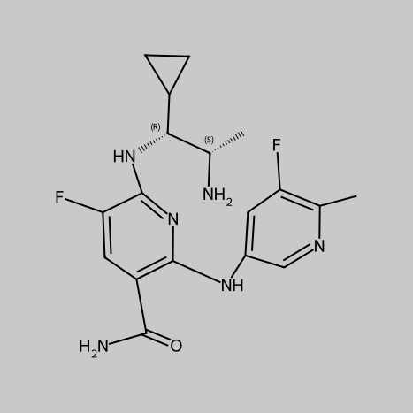 Cc1ncc(Nc2nc(N[C@H](C3CC3)[C@H](C)N)c(F)cc2C(N)=O)cc1F